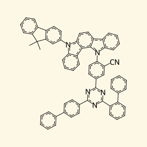 CC1(C)c2ccccc2-c2ccc(-n3c4ccccc4c4c3ccc3c5ccccc5n(-c5ccc(-c6nc(-c7ccc(-c8ccccc8)cc7)nc(-c7ccccc7-c7ccccc7)n6)cc5C#N)c34)cc21